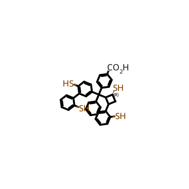 O=C(O)c1ccc(C(c2ccccc2)(c2ccc(S)c(-c3ccccc3S)c2)C2C(c3ccccc3S)C[C@H]2S)cc1